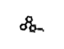 Nc1nncc(-c2ccccc2-c2ccccc2)n1